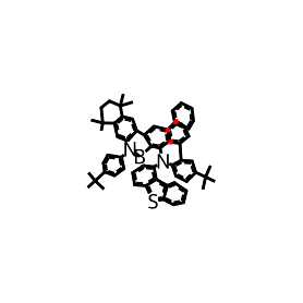 CC(C)(C)c1ccc(N2B3c4ccc5sc6ccccc6c5c4N(c4ccc(C(C)(C)C)cc4-c4ccccc4)c4cc(-c5ccccc5)cc(c43)-c3cc4c(cc32)C(C)(C)CCC4(C)C)cc1